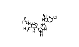 C[C@@H](NC(=O)c1c[nH]c2ncc(-c3nn(C)c4cc(Cl)ccc34)nc12)C(=O)N1CC(F)(F)C1